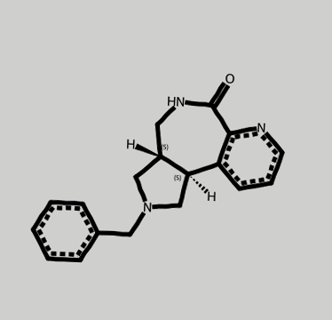 O=C1NC[C@H]2CN(Cc3ccccc3)C[C@@H]2c2cccnc21